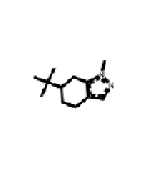 Cn1ncc2c1CC(C(C)(C)C)CC2